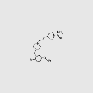 CC(C)Oc1ccc(Br)c(CC2CCN(CCCC3CCN(C(=N)N)CC3)CC2)c1